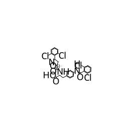 C[C@@]1(C(=O)NC(Cc2ccc(NC(=O)c3c(Cl)cccc3Cl)cc2)C(=O)O)CC(c2c(Cl)cccc2Cl)=NO1